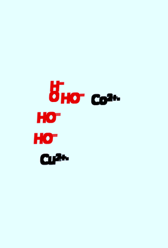 [Co+2].[Cu+2].[OH-].[OH-].[OH-].[OH-]